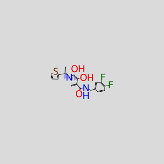 C=C(C(=O)NCc1ccc(F)c(F)c1)/C(O)=C(O)\N=C(/C)c1cccs1